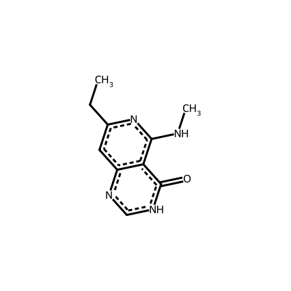 CCc1cc2nc[nH]c(=O)c2c(NC)n1